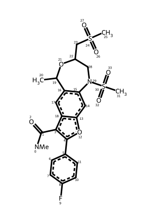 CNC(=O)c1c(-c2ccc(F)cc2)oc2cc3c(cc12)C(C)OC(CS(C)(=O)=O)CN3S(C)(=O)=O